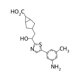 Cc1cc(N)cc(-c2cnc(C(O)CC3CC4C(C3)C4C(=O)O)s2)c1